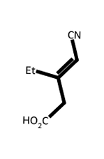 CC/C(=C\C#N)CC(=O)O